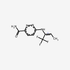 C/C=C(/Nc1ccc(C(N)=O)nn1)C(F)(F)F